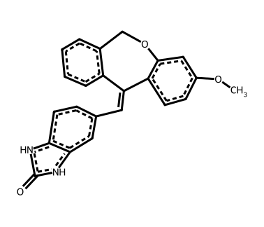 COc1ccc2c(c1)OCc1ccccc1C2=Cc1ccc2[nH]c(=O)[nH]c2c1